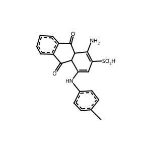 Cc1ccc(NC2=CC(S(=O)(=O)O)=C(N)C3C(=O)c4ccccc4C(=O)C23)cc1